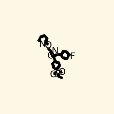 CCS(=O)(=O)c1ccc(-c2oc(COc3ccccn3)nc2-c2ccc(F)cc2)cc1